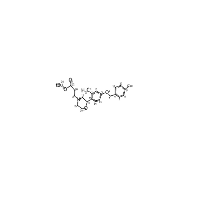 Cc1cc(OCc2ccc(F)cc2)ccc1C1CN(CCC(=O)OC(C)(C)C)CCO1